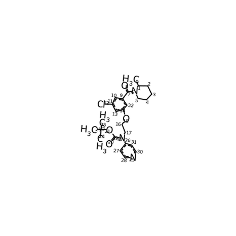 CC1CCCCN1C(=O)c1cc(Cl)cc(OCCN(C(=O)OC(C)(C)C)c2ccncc2)c1